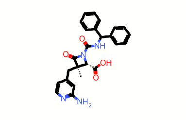 C[C@]1(Cc2ccnc(N)c2)C(=O)N(C(=O)NC(c2ccccc2)c2ccccc2)[C@@H]1C(=O)O